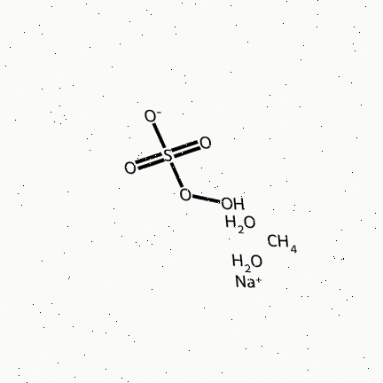 C.O.O.O=S(=O)([O-])OO.[Na+]